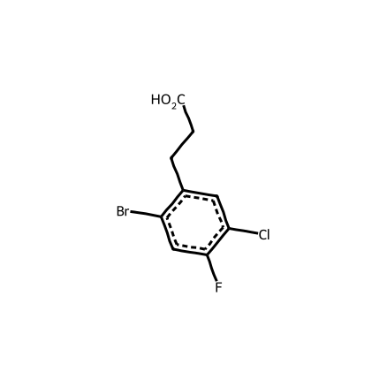 O=C(O)CCc1cc(Cl)c(F)cc1Br